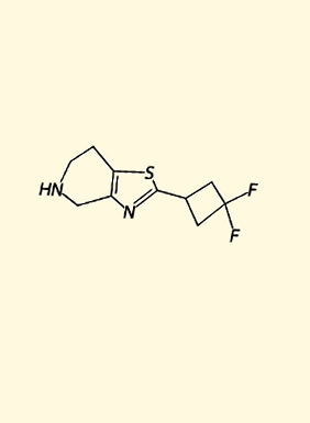 FC1(F)CC(c2nc3c(s2)CCNC3)C1